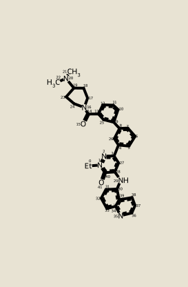 CCn1nc(-c2cccc(-c3cccc(C(=O)N4CCC(N(C)C)CC4)c3)c2)cc(Nc2cccc3ncccc23)c1=O